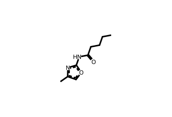 CCCCC(=O)Nc1nc(C)co1